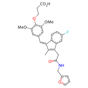 COc1cc(/C=C2/C(C)=C(CC(=O)NCc3ccco3)c3cc(F)ccc32)cc(OC)c1OCCC(=O)O